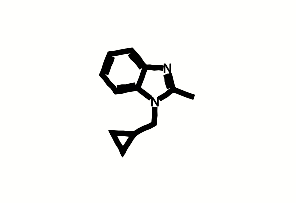 Cc1nc2ccccc2n1CC1CC1